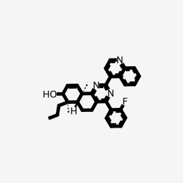 CCC[C@@]1(C)C(O)C=C[C@@]2(C)c3nc(-c4ccnc5ccccc45)nc(-c4ccccc4F)c3CC[C@@H]21